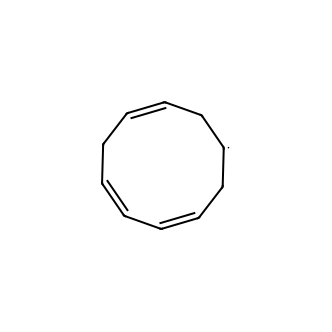 [CH]1C/C=C\C=C/C/C=C\C1